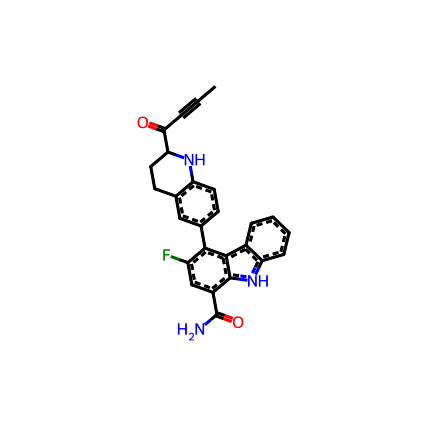 CC#CC(=O)C1CCc2cc(-c3c(F)cc(C(N)=O)c4[nH]c5ccccc5c34)ccc2N1